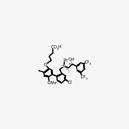 COc1cc(C)c(OCCCC(=O)O)cc1-c1ccc(Cl)cc1CN(C(C)C)[C@@H](C)[C@H](O)c1cc(C(F)(F)F)cc(C(F)(F)F)c1